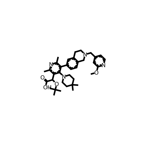 COc1cc(CN2CCc3cc(-c4c(C)nc(C)c(C(OC(C)(C)C)C(=O)O)c4N4CCC(C)(C)CC4)ccc3C2)ccn1